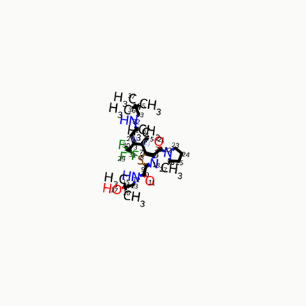 C=C(/C=C(\C(=C/C)c1sc(C(=O)NCC(C)(C)O)nc1C(=O)N1CCCC1C)C(F)(F)F)NCC(C)(C)C